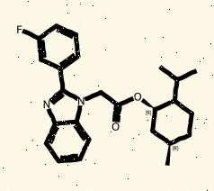 CC(C)C1CC[C@@H](C)C[C@H]1OC(=O)Cn1c(-c2cccc(F)c2)nc2ccccc21